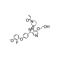 C=CC(=O)N1CCC[C@@H](n2nc(-c3ccc(Oc4cccc(OC)c4F)cc3)c3cncc(OCCO)c32)C1